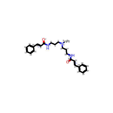 CCCN(CCCNC(=O)/C=C/c1ccccc1)CCCNC(=O)/C=C/c1ccccc1